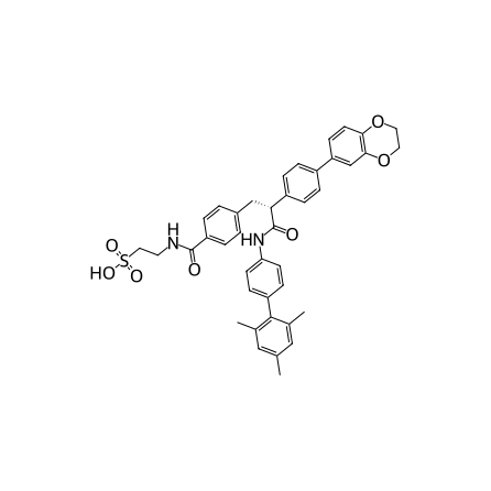 Cc1cc(C)c(-c2ccc(NC(=O)[C@H](Cc3ccc(C(=O)NCCS(=O)(=O)O)cc3)c3ccc(-c4ccc5c(c4)OCCO5)cc3)cc2)c(C)c1